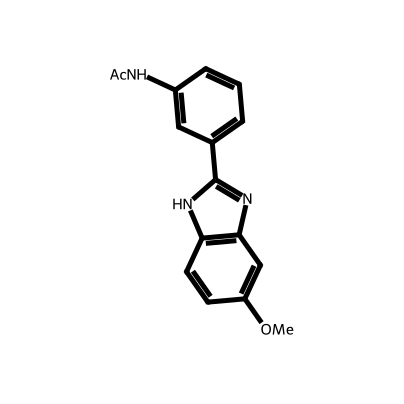 COc1ccc2[nH]c(-c3cccc(NC(C)=O)c3)nc2c1